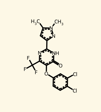 Cc1cc(-c2nc(C(F)(F)F)c(Oc3ccc(Cl)c(Cl)c3)c(=O)[nH]2)nn1C